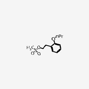 CCCOc1ccccc1CCOS(C)(=O)=O